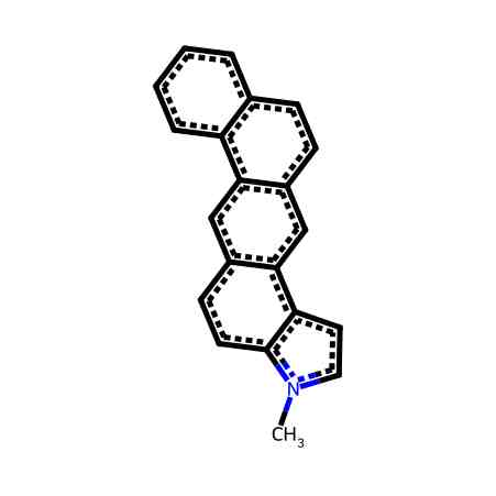 Cn1ccc2c3cc4ccc5ccccc5c4cc3ccc21